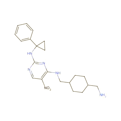 NCC1CCC(CNc2nc(NC3(c4ccccc4)CC3)ncc2[N+](=O)[O-])CC1